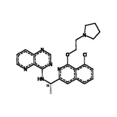 C[C@H](Nc1ncnc2cccnc12)c1cc2cccc(Cl)c2c(OCCN2CCCC2)n1